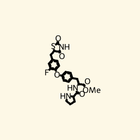 COC(=O)C(Cc1ccc(Oc2ccc(CC3SC(=O)NC3=O)cc2F)cc1)NC(=O)C1CCCN1